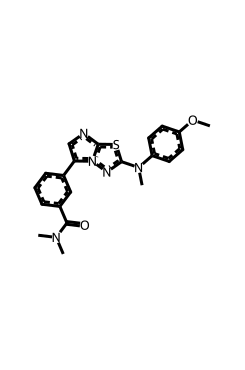 COc1ccc(N(C)c2nn3c(-c4cccc(C(=O)N(C)C)c4)cnc3s2)cc1